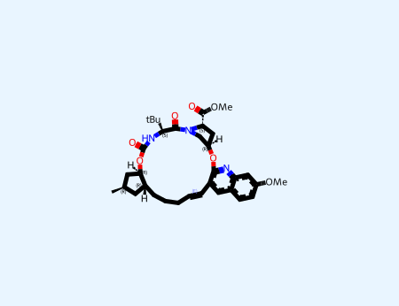 COC(=O)[C@@H]1C[C@@H]2CN1C(=O)[C@H](C(C)(C)C)NC(=O)O[C@@H]1C[C@H](C)C[C@H]1CCC/C=C/c1cc3ccc(OC)cc3nc1O2